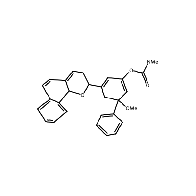 CNC(=O)OC1=CC(OC)(c2ccccc2)CC(C2CC=C3C=Cc4ccccc4C3O2)=C1